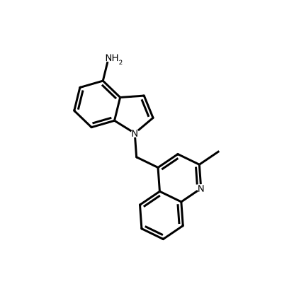 Cc1cc(Cn2ccc3c(N)cccc32)c2ccccc2n1